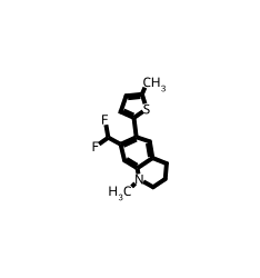 Cc1ccc(-c2cc3c(cc2C(F)F)N(C)CCC3)s1